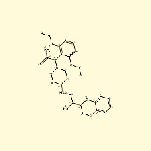 CCOc1cccc(OCC)c1C(C(N)=O)N1CCC(NCC(O)C2COc3ccccc3O2)CC1